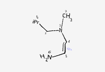 CC(C)CN(C)/C=C\N